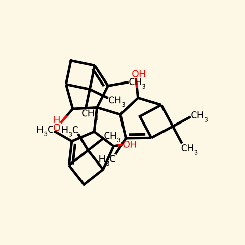 CC1=C2CC(C(O)C1C1(C3C(C)=C4CC(C3O)C4(C)C)C(C)=C3CC(C1O)C3(C)C)C2(C)C